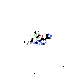 C[C@H](Oc1c(-c2cn[nH]c2)ncn2nc(N[C@@H](C)CF)nc12)C(F)(F)F